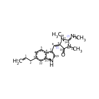 C=CCc1ccc2c(/C=C3\C(=O)N(C)/C(=N\C)N3C)c[nH]c2c1